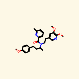 COc1ccc(CCC(C)N(CCc2cnc(OC)c(OC)c2)C(=O)c2cccc(C)n2)cc1